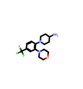 NC1CCN(c2c[c]c(C(F)(F)F)cc2N2CCOCC2)CC1